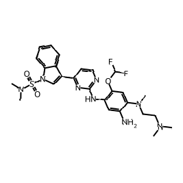 CN(C)CCN(C)c1cc(OC(F)F)c(Nc2nccc(-c3cn(S(=O)(=O)N(C)C)c4ccccc34)n2)cc1N